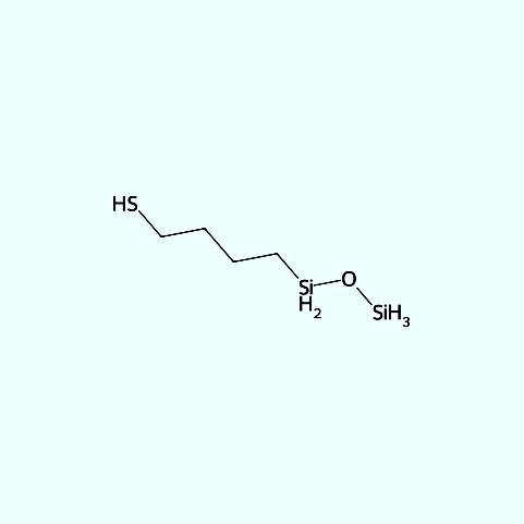 [SiH3]O[SiH2]CCCCS